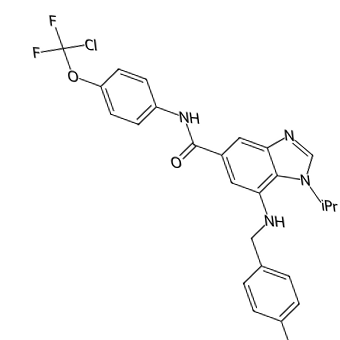 COc1ccc(CNc2cc(C(=O)Nc3ccc(OC(F)(F)Cl)cc3)cc3ncn(C(C)C)c23)cc1